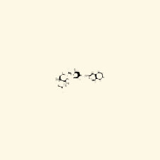 O=C1CO[C@H]2CCN(C(=O)N3C[C@H]4C[C@@H]3C[C@@H]4COc3cc4c(cn3)CCCC4)C[C@H]2N1